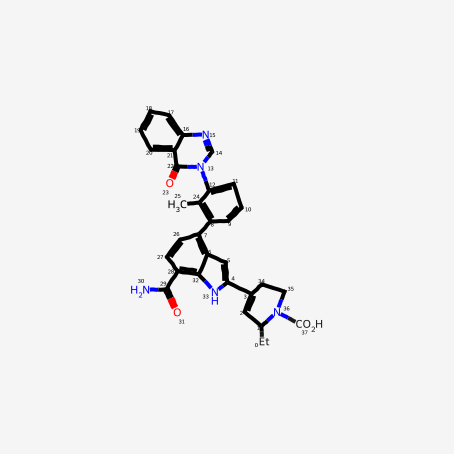 CCC1C=C(c2cc3c(-c4cccc(-n5cnc6ccccc6c5=O)c4C)ccc(C(N)=O)c3[nH]2)CCN1C(=O)O